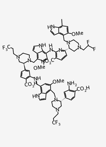 COc1cc(C)c2[nH]ccc2c1CN1CCN(CC(F)F)C[C@@H]1c1ccc(C(=O)O)c(Nc2cc(OC)c(CN3CCN(CCC(F)(F)F)C[C@@H]3c3ccc(C(=O)O)c(NCc4cc(OC)c(CN5CCN(CCC(F)(F)F)C[C@H]5c5ccc(C(=O)O)c(N)c5)c5cc[nH]c45)c3)c3cc[nH]c23)n1